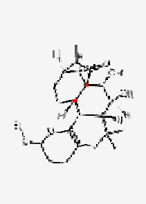 C=C1C(=O)[C@]23[C@H](O)[C@H]1CC[C@H]2[C@@]12CO[C@@]3(O)[C@@H](O)[C@@H]1C(C)(C)CC1=C2O[C@H](OCC)CC1